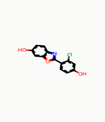 Oc1ccc(-c2nc3ccc(O)cc3o2)c(Cl)c1